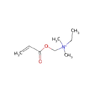 C=CC(=O)OC[N+](C)(C)CC